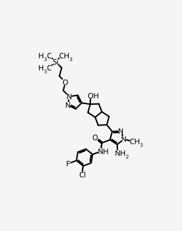 Cn1nc(C2CC3CC(O)(c4cnn(COCC[Si](C)(C)C)c4)CC3C2)c(C(=O)Nc2ccc(F)c(Cl)c2)c1N